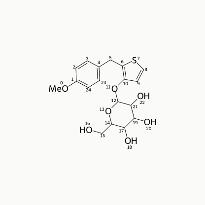 COc1ccc(Cc2sccc2OC2OC(CO)C(O)C(O)C2O)cc1